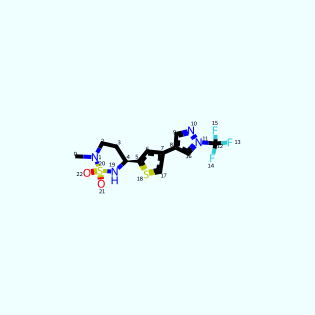 CN1CC[C@@H](c2cc(-c3cnn(C(F)(F)F)c3)cs2)NS1(=O)=O